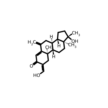 C=C1C[C@@H]2[C@H](CC[C@@]3(C)[C@H]2CC[C@]3(C)O)[C@@]2(C)C/C(=C/O)C(=O)C=C12